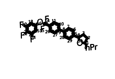 CCCC1CCC(c2ccc(-c3ccc(C(F)(F)Oc4cc(F)c(F)c(F)c4)cc3)cc2)O1